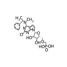 C[C@H](c1ccccc1)N(C)c1nc(Cl)nc2c1ccn2[C@@H]1O[C@H](COCP(=O)(O)O)[C@@H](O)[C@H]1O